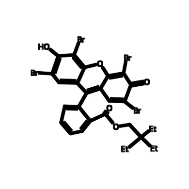 CCC(CC)(CC)COC(=O)c1ccccc1-c1c2cc(Br)c(=O)c(Br)c-2oc2c(Br)c(O)c(Br)cc12